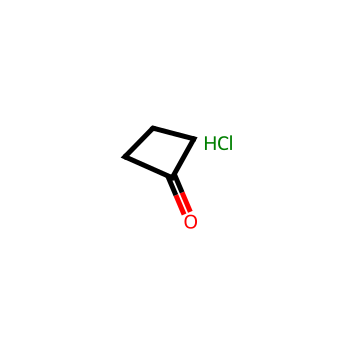 Cl.O=C1CCC1